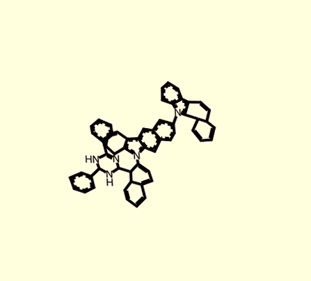 C1=CC2=CC=C(n3c4c(c5cc6cc(-n7c8c(c9ccccc97)C=CC7C=CC=CC87)ccc6cc53)C=CCC4)C(C3N=C(c4ccccc4)NC(c4ccccc4)N3)C2C=C1